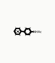 CC(=O)Nc1ccc(C23CCC(CC2)CC3)cc1